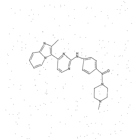 Cc1nc2ccccn2c1-c1ccnc(Nc2ccc(C(=O)N3CCN(C)CC3)cc2)n1